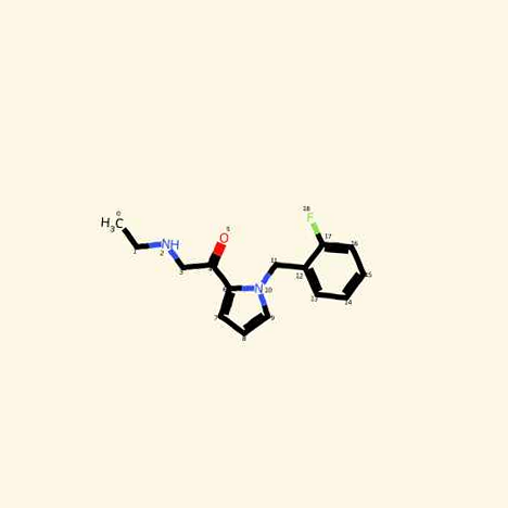 CCNCC(=O)c1cccn1Cc1ccccc1F